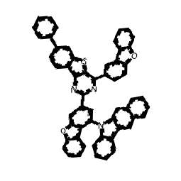 c1ccc(-c2ccc3c(c2)sc2c(-c4ccc5oc6ccccc6c5c4)nc(-c4cc(-n5c6ccccc6c6cc7ccccc7cc65)c5c(c4)oc4ccccc45)nc23)cc1